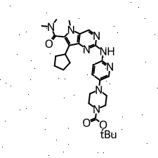 CN(C)C(=O)c1c(C2CCCC2)c2nc(Nc3ccc(N4CCN(C(=O)OC(C)(C)C)CC4)cn3)ncc2n1C